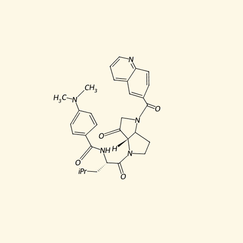 CC(C)C[C@H](NC(=O)c1ccc(N(C)C)cc1)C(=O)N1CCC2[C@H]1C(=O)CN2C(=O)c1ccc2ncccc2c1